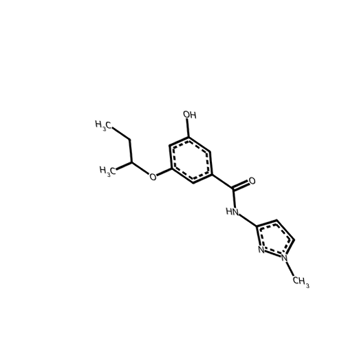 CCC(C)Oc1cc(O)cc(C(=O)Nc2ccn(C)n2)c1